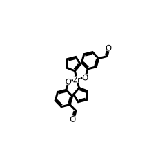 O=Cc1cccc([O][Zr]([O]c2cccc(C=O)c2)([C]2=CC=CC2)[C]2=CC=CC2)c1